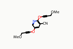 COCC#COc1cnc(OC#CCOC)c(C#N)c1